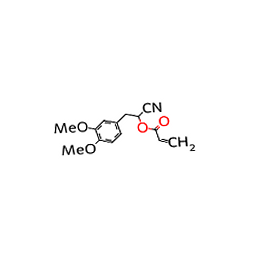 C=CC(=O)OC(C#N)Cc1ccc(OC)c(OC)c1